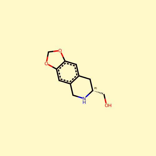 OC[C@H]1Cc2cc3c(cc2CN1)OCO3